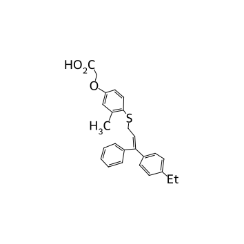 CCc1ccc(C(=CCSc2ccc(OCC(=O)O)cc2C)c2ccccc2)cc1